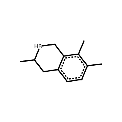 Cc1ccc2c(c1C)CBC(C)C2